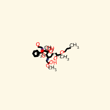 CCCCO[C@H](C)[C@H](O)C[C@@H]1C/C(=C\C(=O)OC)[C@H](OC(=O)c2ccccc2)[C@](O)(C(C)(C)/C=C/C=O)O1